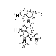 CN(C)C1CCc2cc(N)cc(N3CCC(c4c(N)cc(N5CCC5)c5c4CCC(N(C)C)C5)CC3)c2C1